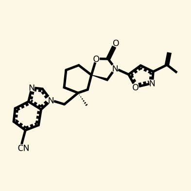 C=C(C)c1cc(N2C[C@@]3(CCC[C@](C)(Cn4cnc5ccc(C#N)cc54)C3)OC2=O)on1